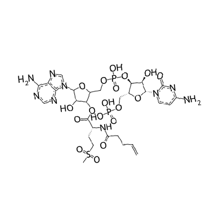 C=CCCC(=O)N[C@H](CCS(C)(=O)=O)C(=O)OC1C(COP(=O)(O)O[C@H]2[C@@H](O)[C@H](n3ccc(N)nc3=O)O[C@@H]2COP(=O)(O)O)OC(n2cnc3c(N)ncnc32)C1O